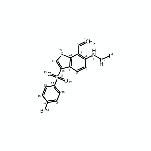 C=Cc1c(NPI)ccc2c(S(=O)(=O)c3ccc(Br)cc3)csc12